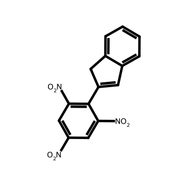 O=[N+]([O-])c1cc([N+](=O)[O-])c(C2=Cc3ccccc3C2)c([N+](=O)[O-])c1